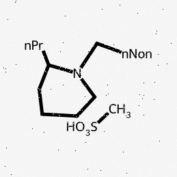 CCCCCCCCCCN1CCCCC1CCC.CS(=O)(=O)O